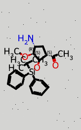 CO[C@@H]1C(O[Si](c2ccccc2)(c2ccccc2)C(C)(C)C)[C@@H](C(C)=O)C[C@H]1N